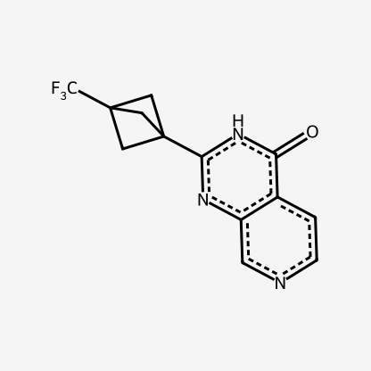 O=c1[nH]c(C23CC(C(F)(F)F)(C2)C3)nc2cnccc12